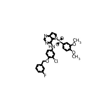 COc1ccc(S(=O)(=O)n2ccc3ncnc(Nc4ccc(OCc5cccc(F)c5)c(Cl)c4)c32)cc1OC